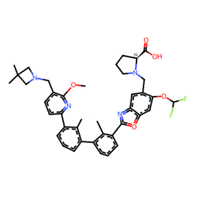 COc1nc(-c2cccc(-c3cccc(-c4nc5cc(CN6CCC[C@H]6C(=O)O)c(OC(F)F)cc5o4)c3C)c2C)ccc1CN1CC(C)(C)C1